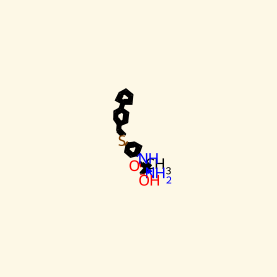 CC(N)(CO)C(=O)Nc1ccc(SC=Cc2ccc(-c3ccccc3)cc2)cc1